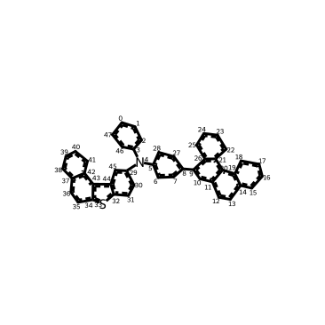 c1ccc(N(c2ccc(-c3cc4ccc5ccccc5c4c4ccccc34)cc2)c2ccc3sc4ccc5ccccc5c4c3c2)cc1